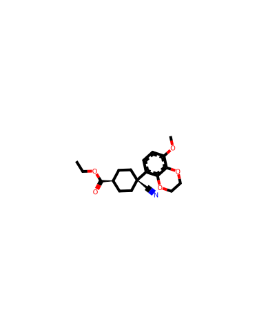 CCOC(=O)[C@H]1CC[C@](C#N)(c2ccc(OC)c3c2OCCO3)CC1